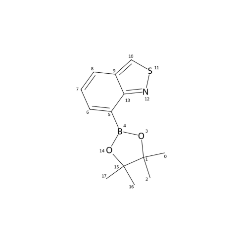 CC1(C)OB(c2cccc3csnc23)OC1(C)C